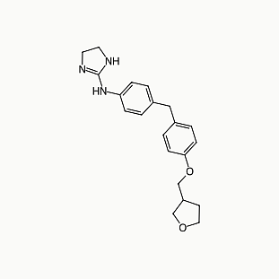 c1cc(NC2=NCCN2)ccc1Cc1ccc(OCC2CCOC2)cc1